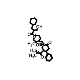 CN(C)C(=O)C1CN(C[C@]2(O)CCN(C(=O)C(CO)CC3CCCCC3)CC2(C)C)C(=O)CC1c1ccccc1